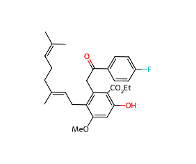 CCOC(=O)c1c(O)cc(OC)c(C/C=C(\C)CCC=C(C)C)c1CC(=O)c1ccc(F)cc1